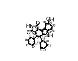 O=C1NC(=O)c2c1c(-c1ccccc1)c(-c1ccccc1)c1[nH]c3ccc(O)cc3c21